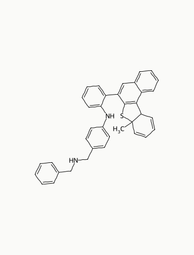 CC12C=CC=CC1c1c(c(-c3ccccc3Nc3ccc(CNCc4ccccc4)cc3)cc3ccccc13)S2